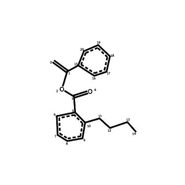 C=C(OC(=O)c1ccccc1CCCC)c1ccccc1